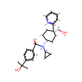 CC(C)(O)c1ccc(C(=O)N(C2CC2)[C@H]2CC[C@](CO)(c3ccccn3)CC2)cc1